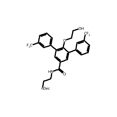 CCCCCCCCCCCCNC(=O)c1cc(-c2cccc(C(F)(F)F)c2)c(OCCO)c(-c2cccc(C(F)(F)F)c2)c1